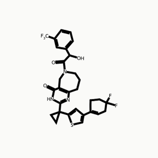 O=C(C(O)c1cccc(C(F)(F)F)c1)N1CCCc2nc(C3(c4cc(C5=CCC(F)(F)CC5)cs4)CC3)[nH]c(=O)c2C1